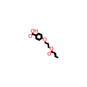 CC=CC(=O)OCCCOc1ccc(C(=O)O)cc1